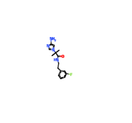 CC(C)(C(=O)NCCc1cccc(F)c1)n1cnc(N)c1